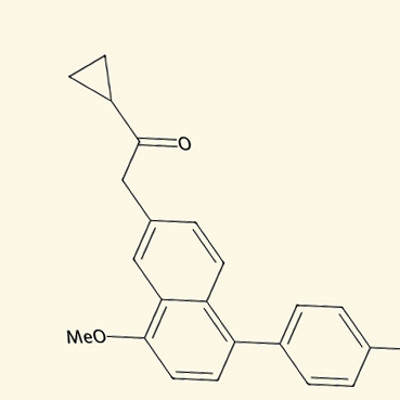 COc1ccc(-c2ccc(F)cc2)c2ccc(CC(=O)C3CC3)cc12